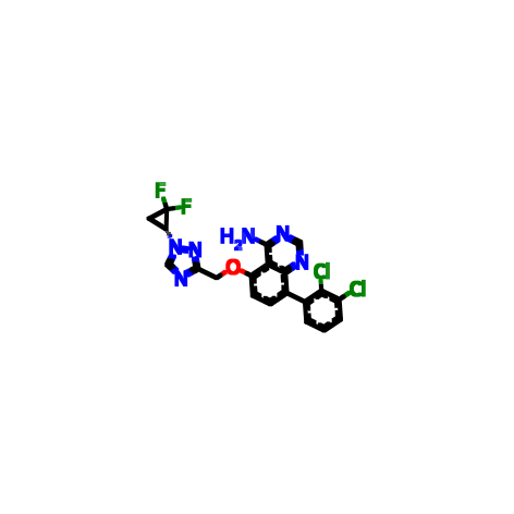 Nc1ncnc2c(-c3cccc(Cl)c3Cl)ccc(OCc3ncn([C@@H]4CC4(F)F)n3)c12